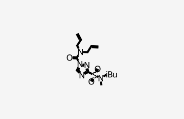 C=CCN(CC=C)C(=O)n1cnc(S(=O)(=O)N(C)C(C)CC)n1